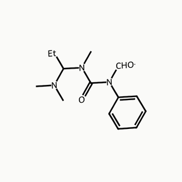 CCC(N(C)C)N(C)C(=O)N([C]=O)c1ccccc1